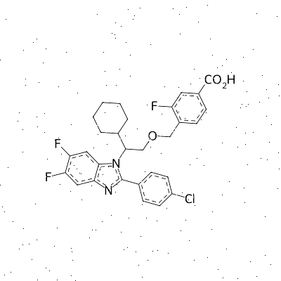 O=C(O)c1ccc(COCC(C2CCCCC2)n2c(-c3ccc(Cl)cc3)nc3cc(F)c(F)cc32)c(F)c1